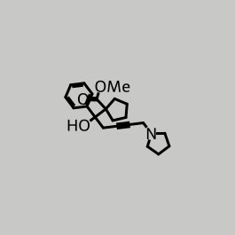 COC(=O)C1(C(O)(CC#CCN2CCCC2)c2ccccc2)CCCC1